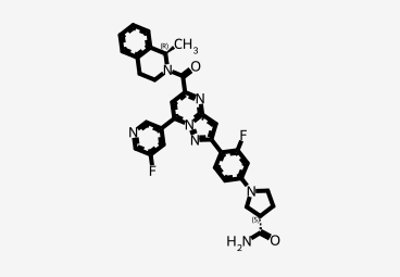 C[C@@H]1c2ccccc2CCN1C(=O)c1cc(-c2cncc(F)c2)n2nc(-c3ccc(N4CC[C@H](C(N)=O)C4)cc3F)cc2n1